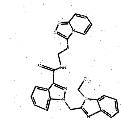 CCn1c(Cn2nc(C(=O)NCCc3nnc4ccccn34)c3ccccc32)nc2ccccc21